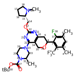 Cc1cc(C)c(C(F)(F)F)c(C2Cc3nc(OC[C@@H]4CCCN4C)nc(N4CCN(C(=O)OC(C)(C)C)[C@H](C)C4)c3CO2)c1F